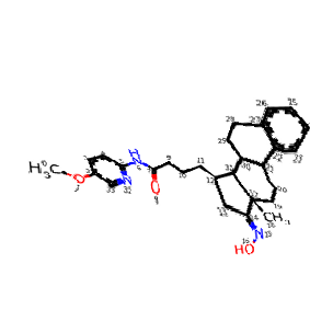 COc1ccc(NC(=O)CCC[C@@H]2C/C(=N\O)[C@@]3(C)CCC4c5ccccc5CCC4C23)nc1